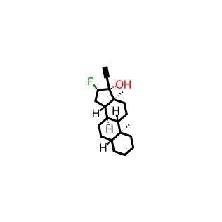 C#C[C@]1(O)[C@H](F)C[C@H]2[C@@H]3CC[C@H]4CCCC[C@]4(C)[C@H]3CC[C@@]21C